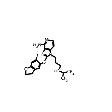 Nc1nccc2c1nc(Sc1cc3c(cc1I)OCC3)n2CCCNC(C([19F])([19F])[19F])C([19F])([19F])[19F]